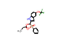 CCC(=O)OC(c1cc2cc(OC(F)(F)F)ccc2[nH]1)S(=O)(=O)c1ccccc1